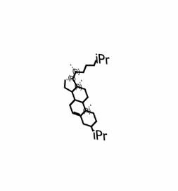 CC(C)CCC[C@@H](C)[C@H]1CCC2C3CC=C4CC(C(C)C)CC[C@]4(C)C3CC[C@@]21C